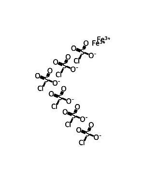 O=S(=O)([O-])Cl.O=S(=O)([O-])Cl.O=S(=O)([O-])Cl.O=S(=O)([O-])Cl.O=S(=O)([O-])Cl.O=S(=O)([O-])Cl.[Fe+3].[Fe+3]